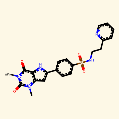 CCCn1c(=O)c2[nH]c(-c3ccc(S(=O)(=O)NCCc4ccccn4)cc3)cc2n(C)c1=O